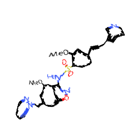 COc1cc(C#Cc2cccnc2)ccc1S(=O)(=O)Nc1noc2cc(Cn3cccn3)cc(OC)c12